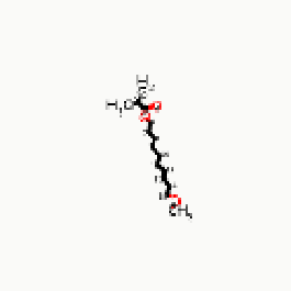 C=C(C)C(=O)OCCCCCCCCCCOC